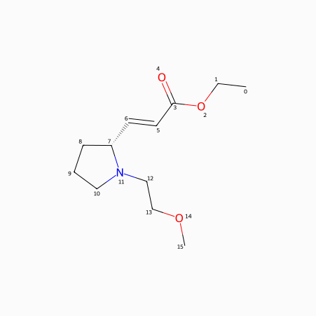 CCOC(=O)/C=C/[C@H]1CCCN1CCOC